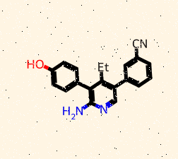 CCc1c(-c2cccc(C#N)c2)cnc(N)c1-c1ccc(O)cc1